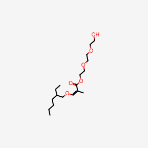 CCCCC(CC)COC=C(C)C(=O)OCCOCCOCCO